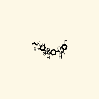 C=CCN(C)c1ncc(S(=O)(=O)NC2CCC(C(=O)N[C@H](C)c3ccc(F)cc3)CC2)cc1Br